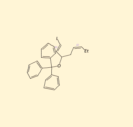 CC/C=C\CC(/C=C/I)OC(c1ccccc1)(c1ccccc1)c1ccccc1